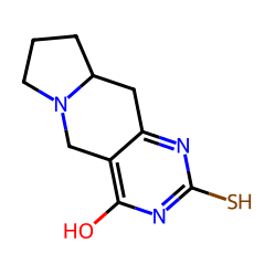 Oc1nc(S)nc2c1CN1CCCC1C2